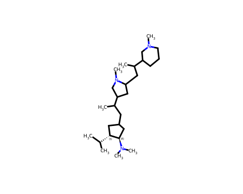 CC(CC1CC(C(C)CC2C[C@@H](N(C)C)[C@H](C(C)C)C2)CN1C)C1CCCN(C)C1